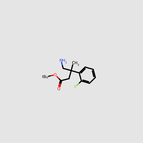 CC(C)(C)OC(=O)CC(C)(CN)c1ccccc1F